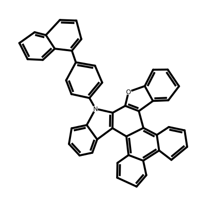 c1ccc2c(-c3ccc(-n4c5ccccc5c5c6c7ccccc7c7ccccc7c6c6c7ccccc7oc6c54)cc3)cccc2c1